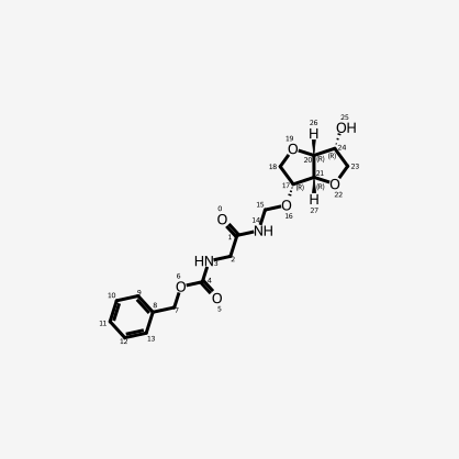 O=C(CNC(=O)OCc1ccccc1)NCO[C@@H]1CO[C@H]2[C@@H]1OC[C@H]2O